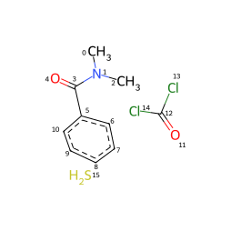 CN(C)C(=O)c1ccccc1.O=C(Cl)Cl.S